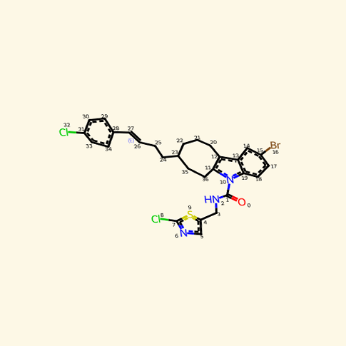 O=C(NCc1cnc(Cl)s1)n1c2c(c3cc(Br)ccc31)CCCC(CC/C=C/c1ccc(Cl)cc1)CC2